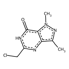 Cc1nn(C)c2c(=O)[nH]c(CCl)nc12